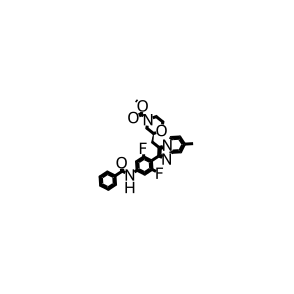 COC(=O)N1CCO[C@@H](Cc2c(-c3c(F)cc(NC(=O)c4ccccc4)cc3F)nc3cc(C)ccn23)C1